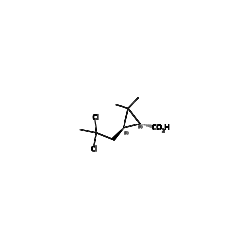 CC(Cl)(Cl)C[C@@H]1[C@@H](C(=O)O)C1(C)C